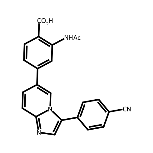 CC(=O)Nc1cc(-c2ccc3ncc(-c4ccc(C#N)cc4)n3c2)ccc1C(=O)O